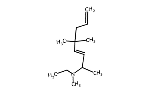 C=CCC(C)(C)C=CC(C)N(C)CC